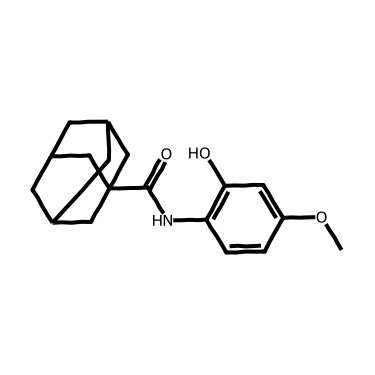 COc1ccc(NC(=O)C23CC4CC(CC(C4)C2)C3)c(O)c1